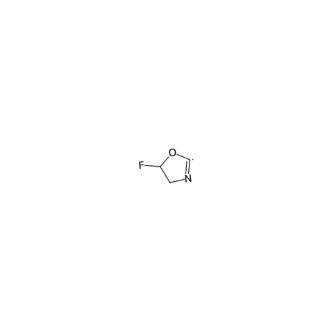 FC1CN=[C]O1